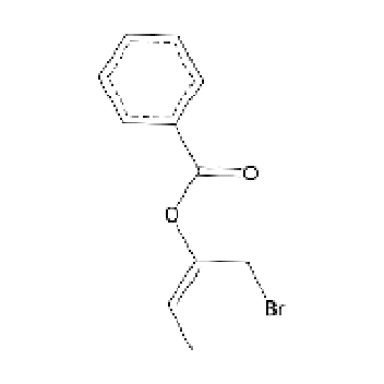 CC=C(CBr)OC(=O)c1ccccc1